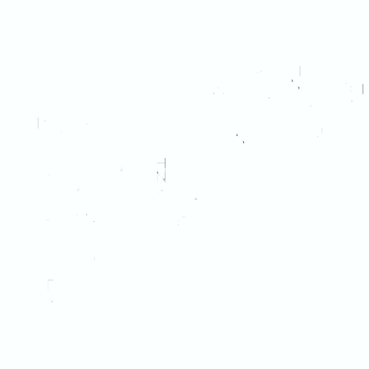 CC(C)(NC(=O)O)C(=O)N1CCCC(C(=O)NCc2ccc(Cl)cc2OCC(F)(F)F)C1